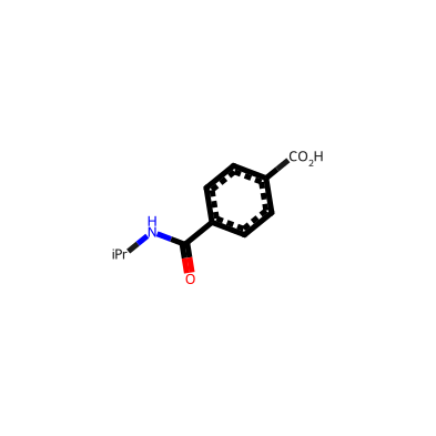 CC(C)NC(=O)c1ccc(C(=O)O)cc1